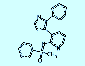 CS(=O)(=Nc1ncccc1-c1scnc1-c1ccccc1)c1ccccc1